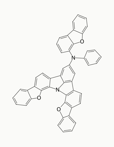 c1ccc(N(c2cc3c4ccc5c6ccccc6oc5c4n4c3c(c2)c2ccc3c5ccccc5oc3c24)c2cccc3c2oc2ccccc23)cc1